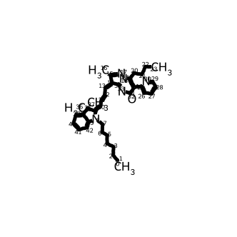 CCCCCCCCN1/C(=C/C=C/C=c2/c(C)nn3c(CCCC)c(-c4ccccn4)c(=O)nc23)C(C)(C)c2ccccc21